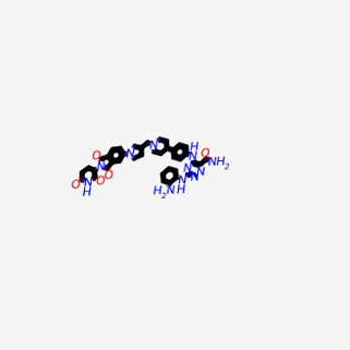 NC(=O)c1nnc(N[C@H]2CCCC[C@H]2N)nc1Nc1ccc(C2CCN(CC3CCN(c4ccc5c(c4)C(=O)N(C4CCC(=O)NC4=O)C5=O)C3)CC2)cc1